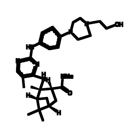 CNC(=O)[C@H]1C[C@H]2C[C@H](C2(C)C)[C@@]1(C)Nc1nc(Nc2ccc(N3CCN(CCO)CC3)cc2)ncc1C